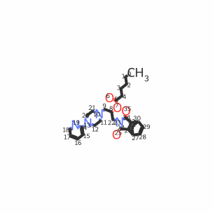 CCCCCC(=O)OC(CN1CCN(c2ccccn2)CC1)CN1C(=O)C2C3C=CC(CC3)C2C1=O